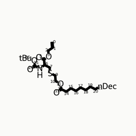 C=CCOC(=O)C(CSCCOC(=O)CCCCCCCCCCCCCCCCC)NC(=O)OC(C)(C)C